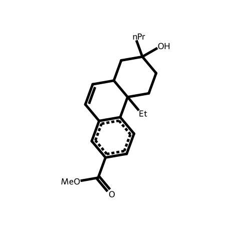 CCCC1(O)CCC2(CC)c3ccc(C(=O)OC)cc3C=CC2C1